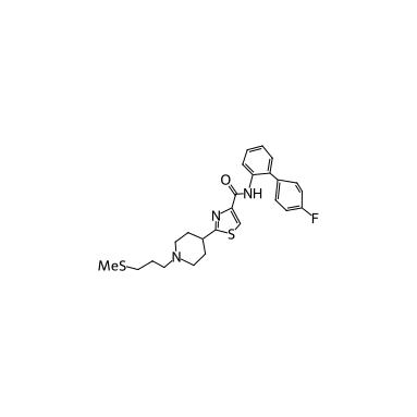 CSCCCN1CCC(c2nc(C(=O)Nc3ccccc3-c3ccc(F)cc3)cs2)CC1